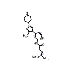 CCC/C=C\C(=C/CNC(=O)C/N=C(/N)OC)c1cn(C2CCNCC2)nc1C